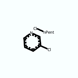 CCCCCCl.Clc1cccnc1